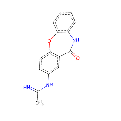 CC(=N)Nc1ccc2c(c1)C(=O)Nc1ccccc1O2